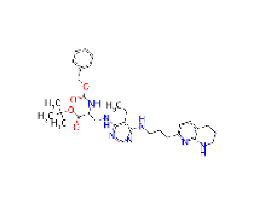 CCc1c(NCCCc2ccc3c(n2)NCCC3)ncnc1NCC(NC(=O)OCc1ccccc1)C(=O)OC(C)(C)C